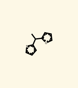 CC(c1ccco1)c1cccs1